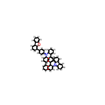 c1ccc(-c2ccc(N(c3ccc(-c4cccc5c4oc4ccccc45)cc3)c3ccccc3-c3ccc(-c4ccccc4-n4c5ccccc5c5ccccc54)cc3)cc2)cc1